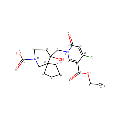 CCOC(=O)c1cn(CC2(O)CCN(C(=O)O)CC23CCCC3)c(=O)cc1Cl